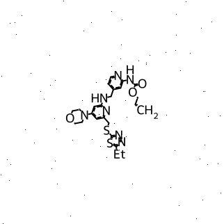 C=CCOC(=O)Nc1cc(CNc2cc(N3CCOCC3)cc(CSc3nnc(CC)s3)n2)ccn1